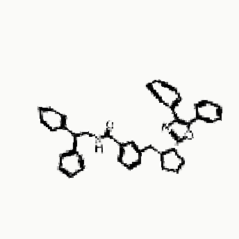 O=C(NCC(c1ccccc1)c1ccccc1)c1cccc(C[C@@H]2CCC[C@H]2c2nc(-c3ccccc3)c(-c3ccccc3)o2)c1